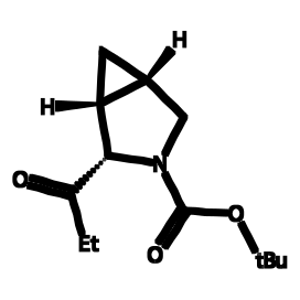 CCC(=O)[C@@H]1[C@@H]2C[C@@H]2CN1C(=O)OC(C)(C)C